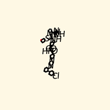 Cc1cc(S(=O)(=O)NC(=O)c2ccc(N3CCN(Cc4ccccc4-c4ccc(Cl)cc4)CC3)cc2)ccc1N[C@H](CCN1CCCC1c1nn[nH]n1)CSc1ccccc1